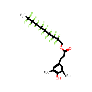 CC(C)(C)c1cc(CCC(=O)OCC(F)(F)C(F)(F)C(F)(F)C(F)(F)C(F)(F)C(F)(F)C(F)(F)C(F)(F)C(F)(F)F)cc(C(C)(C)C)c1O